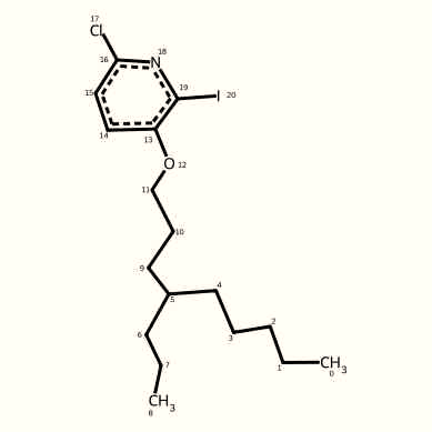 CCCCCC(CCC)CCCOc1ccc(Cl)nc1I